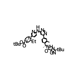 CC[C@H]1CN(C(=O)OC(C)(C)C)CCN1c1ccc(Nc2cc(-c3ccc([C@@H](C)NC(=O)c4nc(C(C)(C)C)no4)c(C)c3)ncn2)nc1